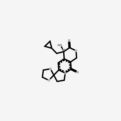 O=C1OCc2c(cc3n(c2=O)CCC32OCCO2)[C@]1(O)CC1CC1